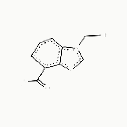 NC(=O)c1cccc2c1ncn2CC(F)(F)F